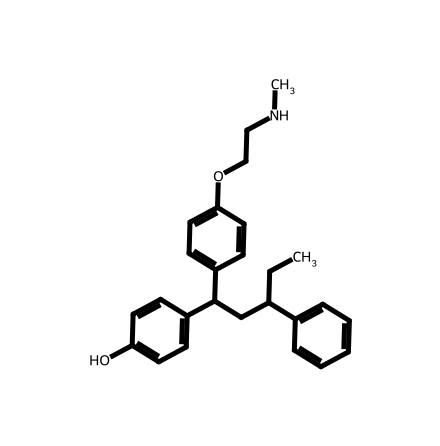 CCC(CC(c1ccc(O)cc1)c1ccc(OCCNC)cc1)c1ccccc1